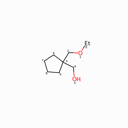 CCOCC1(CO)CCCC1